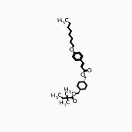 CCCCCCCCOc1ccc(/C=C/C(=O)OC[C@H]2CC[C@H](COC(=O)C(C)(C)CC)CC2)cc1